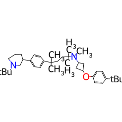 CN(C1CC(Oc2ccc(C(C)(C)C)cc2)C1)C(C)(C)CCC(C)(C)c1ccc(C2CCCN(C(C)(C)C)C2)cc1